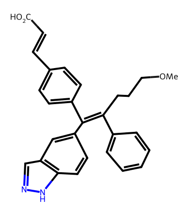 COCCCC(=C(c1ccc(C=CC(=O)O)cc1)c1ccc2[nH]ncc2c1)c1ccccc1